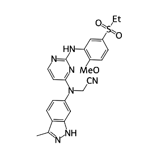 CCS(=O)(=O)c1ccc(OC)c(Nc2nccc(N(CC#N)c3ccc4c(C)n[nH]c4c3)n2)c1